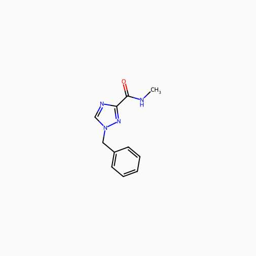 CNC(=O)c1ncn(Cc2ccccc2)n1